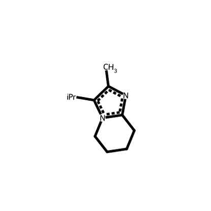 Cc1nc2n(c1C(C)C)CCCC2